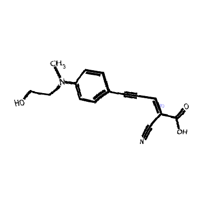 CN(CCO)c1ccc(C#C/C=C(\C#N)C(=O)O)cc1